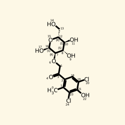 Cc1c(C(=O)CO[C@@H]2[C@@H](O)[C@H](O)[C@@H](CO)O[C@@H]2O)cc(Cl)c(O)c1Cl